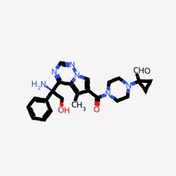 Cc1c(C(=O)N2CCN(C3(C=O)CC3)CC2)cn2ncnc([C@](N)(CO)c3ccccc3)c12